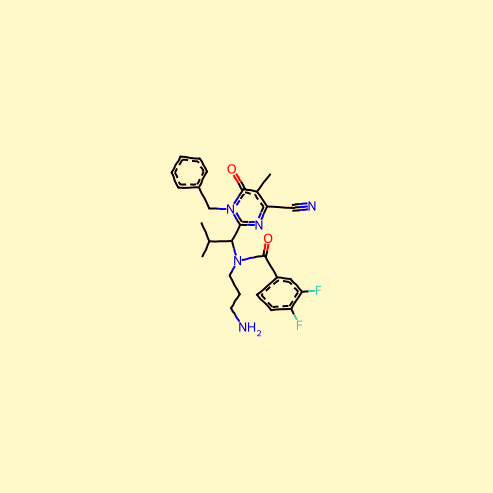 Cc1c(C#N)nc(C(C(C)C)N(CCCN)C(=O)c2ccc(F)c(F)c2)n(Cc2ccccc2)c1=O